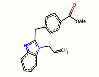 C=CCn1c(Cc2ccc(C(=O)OC)cc2)nc2ccccc21